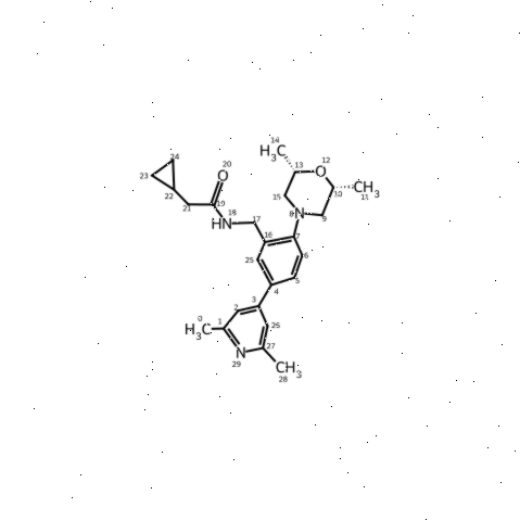 Cc1cc(-c2ccc(N3C[C@@H](C)O[C@@H](C)C3)c(CNC(=O)CC3CC3)c2)cc(C)n1